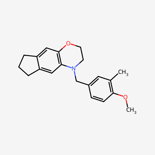 COc1ccc(CN2CCOc3cc4c(cc32)CCC4)cc1C